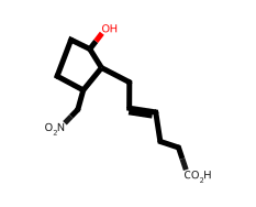 O=C(O)CCC=CCC1C(O)CCC1C[N+](=O)[O-]